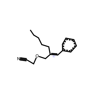 CCCCC/C(=C\c1ccccc1)COCC#N